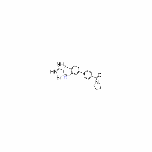 Cc1ccc(-c2ccc(C(=O)N3CCCC3)cc2)cc1/C=C(/Br)CC(=N)N